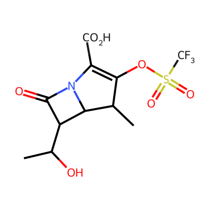 CC(O)C1C(=O)N2C(C(=O)O)=C(OS(=O)(=O)C(F)(F)F)C(C)C12